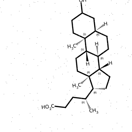 C[C@H](CCC(=O)O)[C@H]1CC[C@H]2[C@@H]3CC[C@@H]4CC(O)CC[C@]4(C)[C@H]3CC[C@]12C